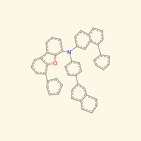 c1ccc(-c2cccc3ccc(N(c4ccc(-c5ccc6ccccc6c5)cc4)c4cccc5c4oc4c(-c6ccccc6)cccc45)cc23)cc1